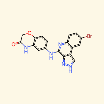 O=C1COc2ccc(Nc3nc4ccc(Br)cc4c4c[nH]nc34)cc2N1